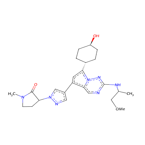 COCC(C)Nc1ncc2c(-c3cnn(C4CCN(C)C4=O)c3)cc([C@H]3CC[C@H](O)CC3)n2n1